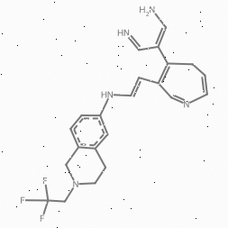 N=C/C(=C\N)C1=C(/C=C/Nc2ccc3c(c2)CCN(CC(F)(F)F)C3)C=NC=CC1